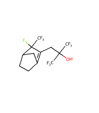 OC(CC1=C2CCC(C2)C1(F)C(F)(F)F)(C(F)(F)F)C(F)(F)F